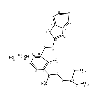 CCN(CC)CCN(C)c1ccnc(CSc2nc3ccccc3[nH]2)c1Cl.Cl.Cl.Cl